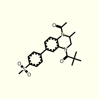 CC(=O)N1c2ccc(-c3ccc(S(C)(=O)=O)cc3)cc2N(C(=O)C(C)(C)C)CC1C